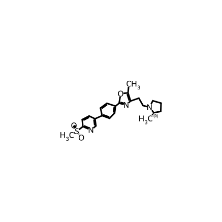 Cc1oc(-c2ccc(-c3ccc(S(C)(=O)=O)nc3)cc2)nc1CCN1CCC[C@H]1C